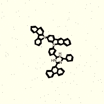 C1=CC2C=Cc3c(c4c(n3-c3ccc5c6cc7ccccc7cc6n(-c6cccc(C7NC(C8=Cc9ccccc9C9C=CC=CC89)=NC(c8ccccc8)N7)c6)c5c3)C=CCC4)C2C=C1